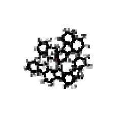 c1ccc2c(-n3c4ccccc4c4ccc5c6ccc7oc8ccccc8c7c6n(-c6ccc7c(c6)-c6cccc8cccc-7c68)c5c43)cccc2c1